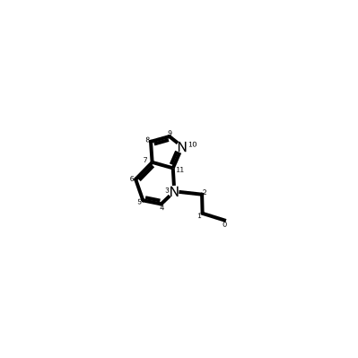 CCCn1cccc2ccnc1-2